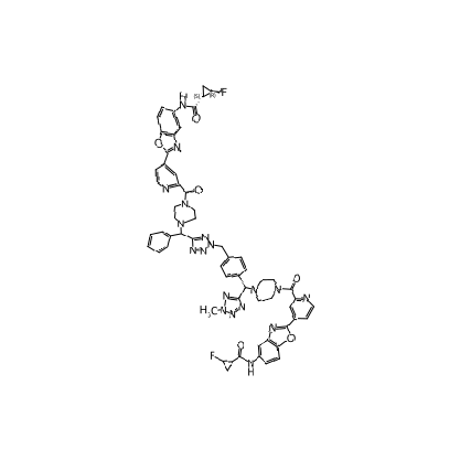 Cn1nnc(C(c2ccc(Cn3nnc(C(c4ccccc4)N4CCN(C(=O)c5cc(-c6nc7cc(NC(=O)[C@@H]8C[C@H]8F)ccc7o6)ccn5)CC4)n3)cc2)N2CCN(C(=O)c3cc(-c4nc5cc(NC(=O)C6CC6F)ccc5o4)ccn3)CC2)n1